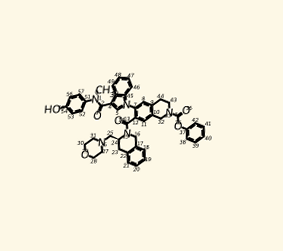 CN(C(=O)c1cn(-c2cc3c(cc2C(=O)N2Cc4ccccc4C[C@H]2CN2CCOCC2)CN(C(=O)Oc2ccccc2)CC3)c2ccccc12)c1ccc(O)cc1